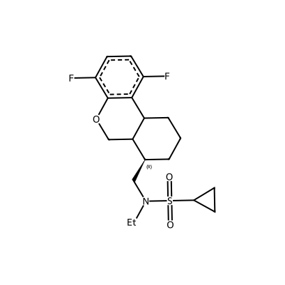 CCN(C[C@@H]1CCCC2c3c(F)ccc(F)c3OCC21)S(=O)(=O)C1CC1